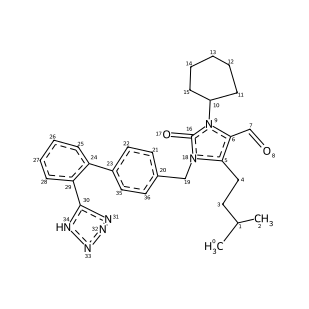 CC(C)CCc1c(C=O)n(C2CCCCC2)c(=O)n1Cc1ccc(-c2ccccc2-c2nnn[nH]2)cc1